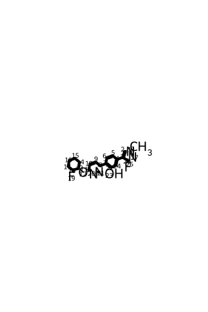 Cn1cc(-c2ccc(-c3ccc(O[C@@H]4CCCC[C@@H]4F)nn3)c(O)c2)c(F)n1